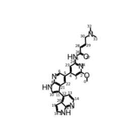 COc1cc(-c2cnc3[nH]cc(-c4ccnc5[nH]ccc45)c3c2)cc(NC(=O)C=CCN(C)C)n1